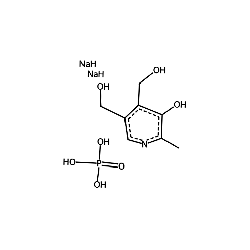 Cc1ncc(CO)c(CO)c1O.O=P(O)(O)O.[NaH].[NaH]